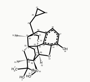 CC(C)(C)C(C)(O)[C@H]1C[C@@]23CC[C@]1(OO)[C@@H]1Oc4c(O)ccc5c4[C@@]12CCN(CC1CC1)[C@@H]3C5